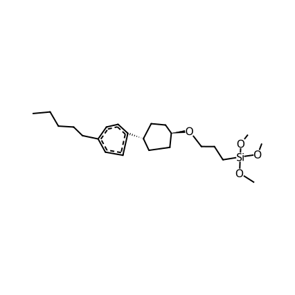 CCCCCc1ccc([C@H]2CC[C@H](OCCC[Si](OC)(OC)OC)CC2)cc1